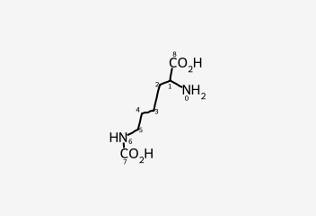 NC(CCCCNC(=O)O)C(=O)O